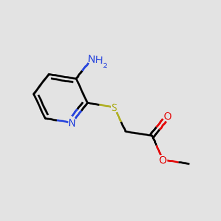 COC(=O)CSc1ncccc1N